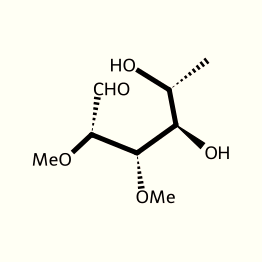 CO[C@@H]([C@H](O)[C@@H](C)O)[C@@H](C=O)OC